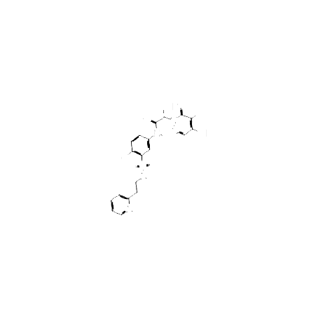 Cc1ccc(N(C)C(=O)[C@@H](C)n2ncc(Cl)c(Cl)c2=O)cc1S(=O)(=O)NCCc1ccccn1